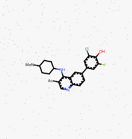 CNC1CCC(Nc2c(C(C)=O)cnc3ccc(-c4cc(F)c(O)c(Cl)c4)cc23)CC1